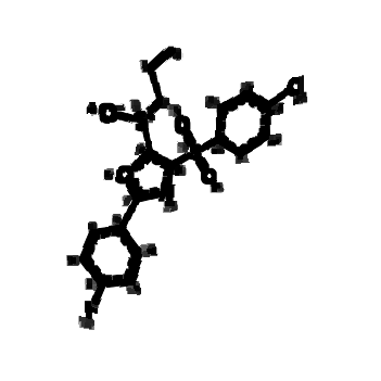 CCC[S+]([O-])c1oc(-c2ccc(F)cc2)nc1S(=O)(=O)c1ccc(Cl)cc1